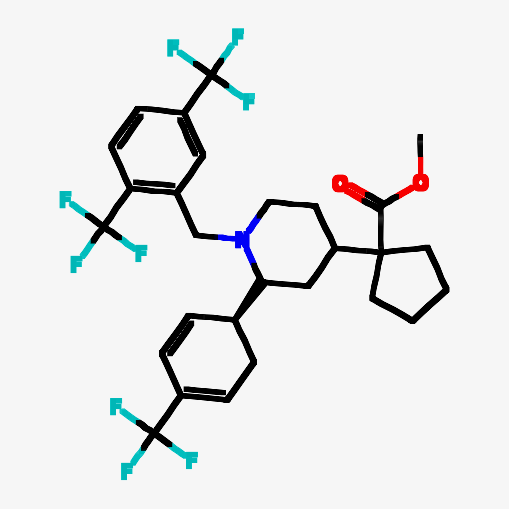 COC(=O)C1(C2CCN(Cc3cc(C(F)(F)F)ccc3C(F)(F)F)C([C@@H]3C=CC(C(F)(F)F)=CC3)C2)CCCC1